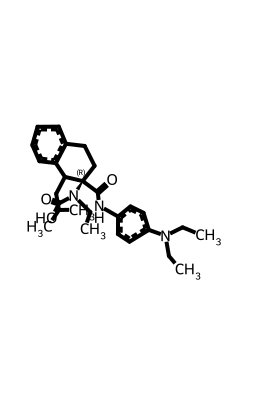 CCN(CC)c1ccc(NC(=O)[C@@]2(N(CC)C(=O)O)CCc3ccccc3C2CC(C)C)cc1